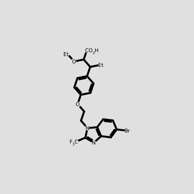 CCOC(C(=O)O)C(CC)c1ccc(OCCn2c(C(F)(F)F)nc3cc(Br)ccc32)cc1